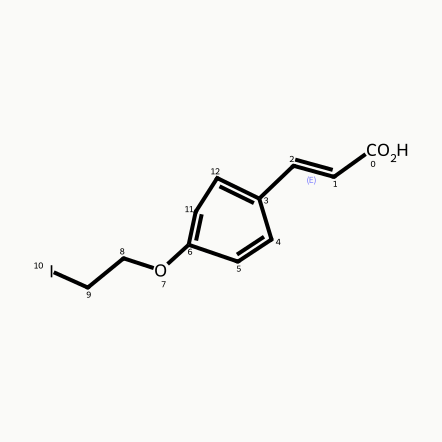 O=C(O)/C=C/c1ccc(OCCI)cc1